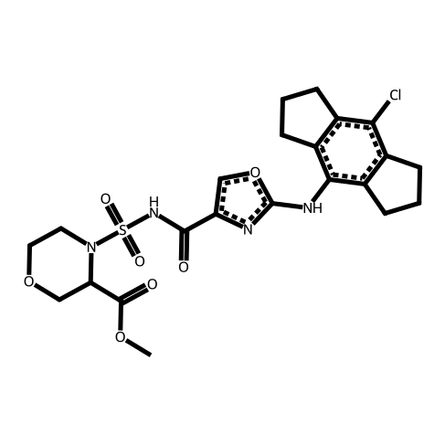 COC(=O)C1COCCN1S(=O)(=O)NC(=O)c1coc(Nc2c3c(c(Cl)c4c2CCC4)CCC3)n1